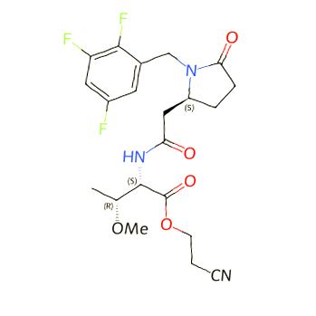 CO[C@H](C)[C@H](NC(=O)C[C@@H]1CCC(=O)N1Cc1cc(F)cc(F)c1F)C(=O)OCCC#N